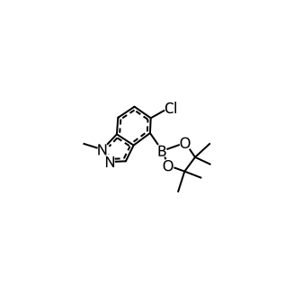 Cn1ncc2c(B3OC(C)(C)C(C)(C)O3)c(Cl)ccc21